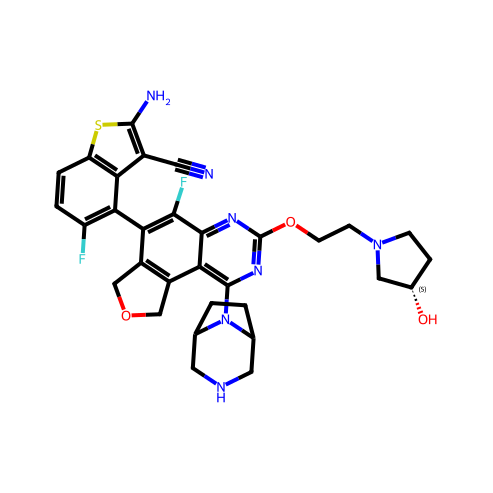 N#Cc1c(N)sc2ccc(F)c(-c3c4c(c5c(N6C7CCC6CNC7)nc(OCCN6CC[C@H](O)C6)nc5c3F)COC4)c12